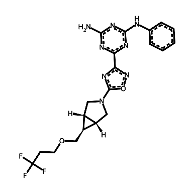 Nc1nc(Nc2ccccc2)nc(-c2noc(N3C[C@@H]4[C@@H](COCCC(F)(F)F)[C@@H]4C3)n2)n1